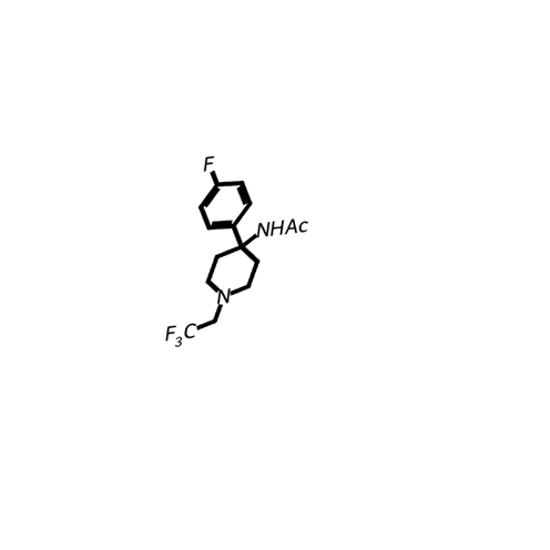 CC(=O)NC1(c2ccc(F)cc2)CCN(CC(F)(F)F)CC1